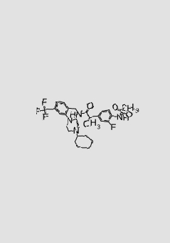 CC(C(=O)NCc1ccc(C(F)(F)F)cc1N1CCN(C2CCCCC2)CC1)c1ccc(NS(C)(=O)=O)c(F)c1